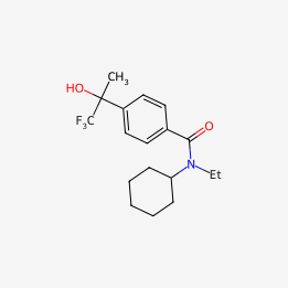 CCN(C(=O)c1ccc(C(C)(O)C(F)(F)F)cc1)C1CCCCC1